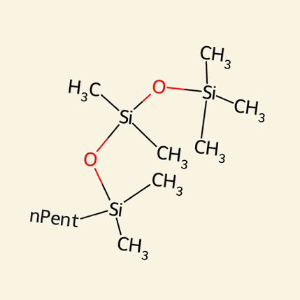 CCCCC[Si](C)(C)O[Si](C)(C)O[Si](C)(C)C